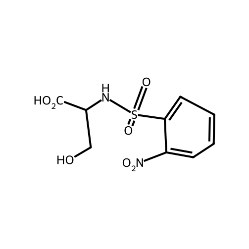 O=C(O)C(CO)NS(=O)(=O)c1ccccc1[N+](=O)[O-]